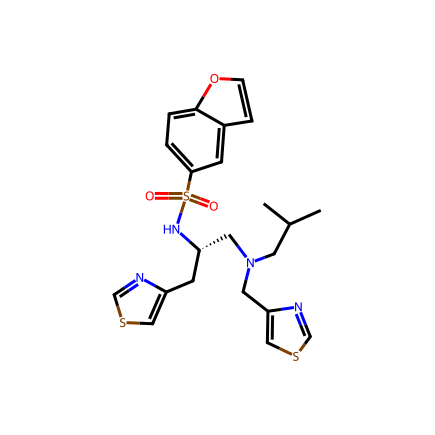 CC(C)CN(Cc1cscn1)C[C@H](Cc1cscn1)NS(=O)(=O)c1ccc2occc2c1